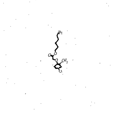 Cc1cc(Cl)ccc1OCC(=O)OCCCCCC(C)C